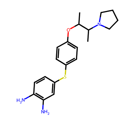 CC(Oc1ccc(Sc2ccc(N)c(N)c2)cc1)C(C)N1CCCC1